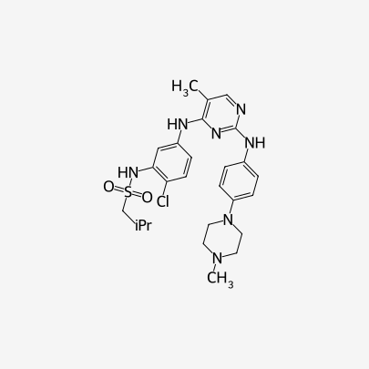 Cc1cnc(Nc2ccc(N3CCN(C)CC3)cc2)nc1Nc1ccc(Cl)c(NS(=O)(=O)CC(C)C)c1